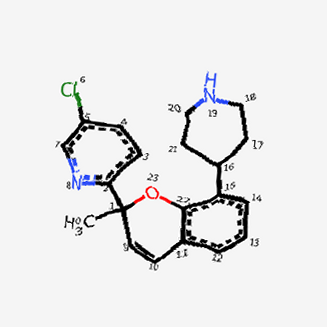 CC1(c2ccc(Cl)cn2)C=Cc2cccc(C3CCNCC3)c2O1